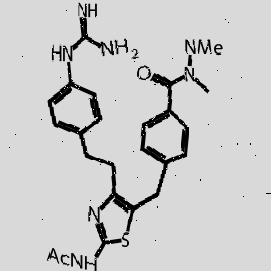 CNN(C)C(=O)c1ccc(Cc2sc(NC(C)=O)nc2CCc2ccc(NC(=N)N)cc2)cc1